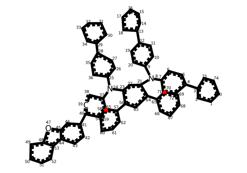 c1ccc(-c2ccc(N(c3ccc(-c4ccccc4)cc3)c3cc(N(c4ccc(-c5ccccc5)cc4)c4ccc(-c5ccc6c(c5)oc5ccccc56)cc4)c(-c4ccccc4)cc3-c3ccccc3)cc2)cc1